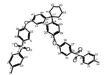 Cc1ccc(S(=O)(=O)c2ccc(Oc3ccc(C4(c5ccc(Oc6ccc(S(=O)(=O)c7ccc(C)cc7)cc6)cc5)CCCCC4)cc3)cc2)cc1